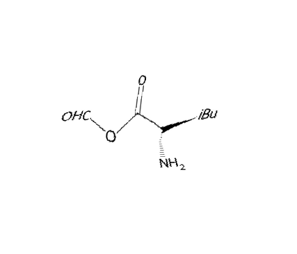 CC[C@H](C)[C@H](N)C(=O)OC=O